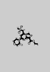 CCOC(=O)c1ncn2c(CS(C)(=O)=O)cc(N3CCOC[C@H]3C)nc12